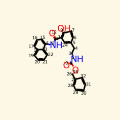 O=C(NCCc1ccc(O)c(C(=O)Nc2cccc3ccccc23)c1)OCc1ccccc1